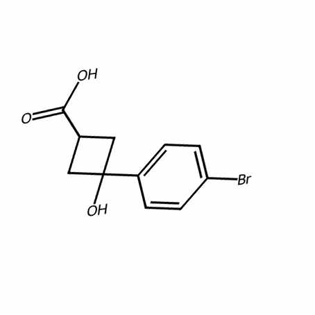 O=C(O)C1CC(O)(c2ccc(Br)cc2)C1